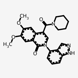 COc1cc2c(C(=O)N3CCCCC3)cn(-c3cccc4[nH]ncc34)c(=O)c2cc1OC